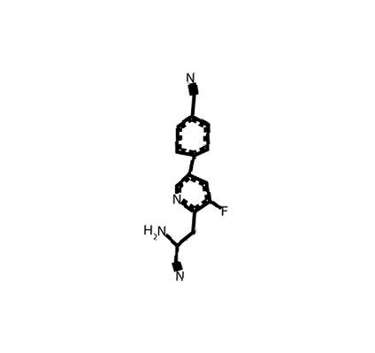 N#Cc1ccc(-c2cnc(CC(N)C#N)c(F)c2)cc1